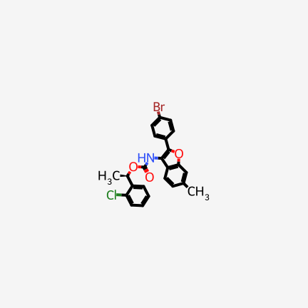 Cc1ccc2c(NC(=O)O[C@H](C)c3ccccc3Cl)c(-c3ccc(Br)cc3)oc2c1